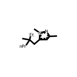 CCCC(C)(CC)Cc1cc(C)nn1C